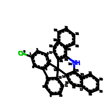 Clc1ccc2c(c1)-c1ccccc1C21c2ccc3ccccc3c2Nc2c1ccc1ccccc21